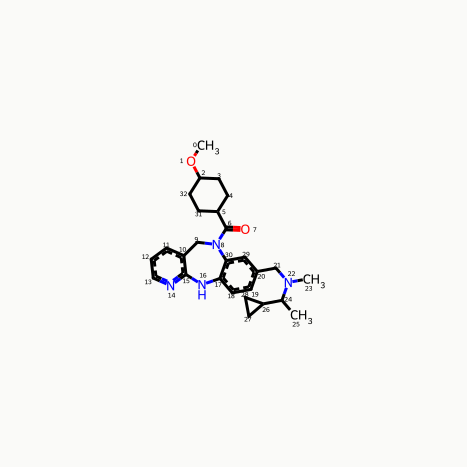 COC1CCC(C(=O)N2Cc3cccnc3Nc3ccc(CN(C)C(C)C4CC4)cc32)CC1